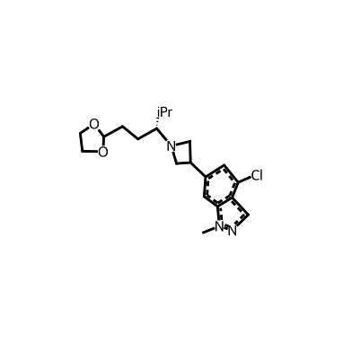 CC(C)[C@@H](CCC1OCCO1)N1CC(c2cc(Cl)c3cnn(C)c3c2)C1